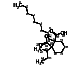 CCCCCCCCCC1(C(=O)O)CCCCC1(C(=O)O)C(C)CC